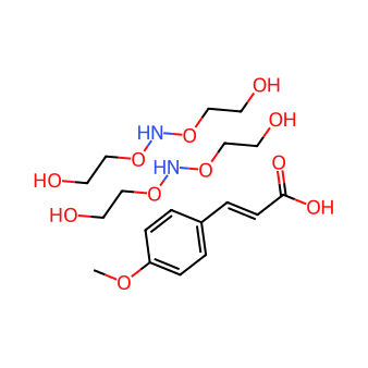 COc1ccc(C=CC(=O)O)cc1.OCCONOCCO.OCCONOCCO